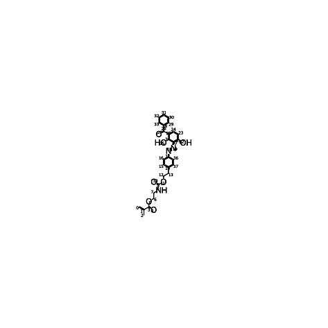 C=C(C)C(=O)OCCNC(=O)OCCc1ccc(/N=N/c2c(O)ccc(C(=O)c3ccccc3)c2O)cc1